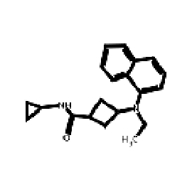 CCN(c1cccc2ccccc12)C1CC(C(=O)NC2CC2)C1